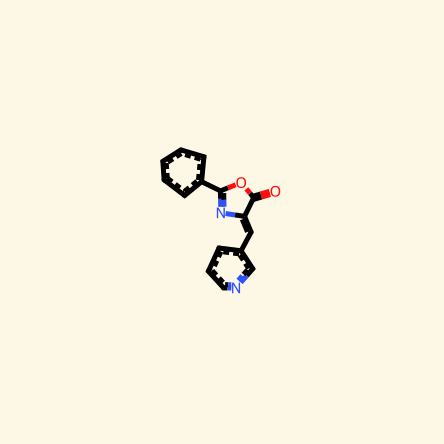 O=C1OC(c2ccccc2)=NC1=Cc1cccnc1